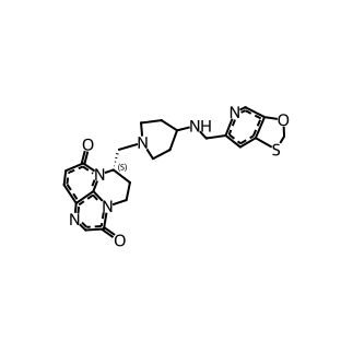 O=c1cnc2ccc(=O)n3c2n1CC[C@H]3CN1CCC(NCc2cc3c(cn2)OCS3)CC1